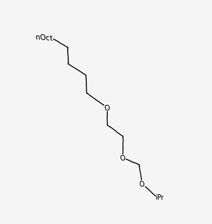 CCCCCCCCCCCCOCCOCOC(C)C